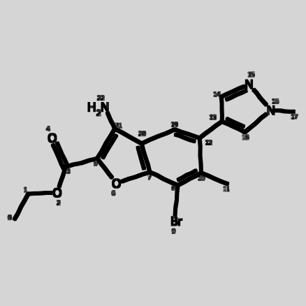 CCOC(=O)c1oc2c(Br)c(C)c(-c3cnn(C)c3)cc2c1N